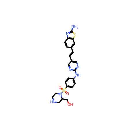 Nc1nc2ccc(C=Cc3cnc(Nc4ccc(S(=O)(=O)N5CCNCC5CO)cc4)nc3)cc2s1